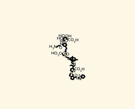 Cc1c(-c2ccc(N3CCc4cccc(C(=O)Nc5nc6ccccc6s5)c4C3)nc2C(=O)O)cnn1CC12CC3(C)CC(C)(C1)CC(OCCN(CCC(=O)O)C(=O)OC/C=C/c1ccc(O[C@@H]4O[C@H](C(=O)O)[C@@H](O)[C@H](O)[C@H]4O)c(NC(=O)CCN)c1)(C3)C2